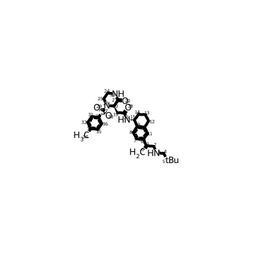 C=C(CNCC(C)(C)C)c1ccc2c(c1)CCC[C@H]2NC(=O)C[C@@H]1C(=O)NCCN1S(=O)(=O)c1ccc(C)cc1